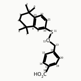 CC1(C)CCC(C)(C)c2cc(SOCc3ccc(C(=O)O)cc3)ccc21